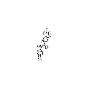 O=C(NC1CC2CC1CN2)c1cc(F)c(C(F)(F)F)cn1